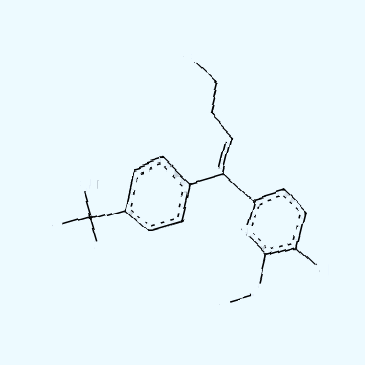 COc1nc(/C(=C/CCO)c2ccc(C(C)(C)C)cc2)ccc1Cl